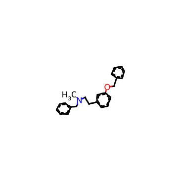 CN(CCc1cccc(OCc2ccccc2)c1)Cc1ccccc1